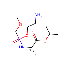 COCP(=O)(N[C@@H](C)C(=O)OC(C)C)OCCN